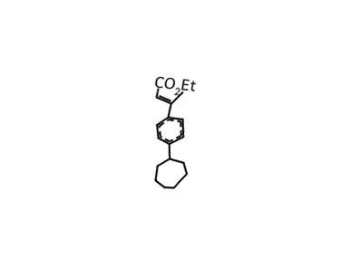 CCOC(=O)C=C(C)c1ccc(C2CCCCCC2)cc1